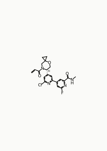 C=CC(=O)N1CC2(CC2)OC[C@@H]1c1cc(Cl)nc(-c2cc(F)nc(C(=O)NC)c2)c1